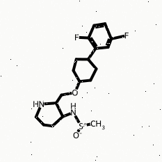 C[S+]([O-])NC1CCCNC1COC1CCC(c2cc(F)ccc2F)CC1